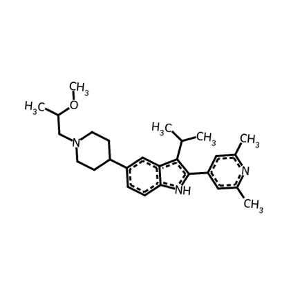 COC(C)CN1CCC(c2ccc3[nH]c(-c4cc(C)nc(C)c4)c(C(C)C)c3c2)CC1